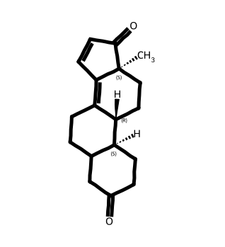 C[C@]12CC[C@H]3C(=C1C=CC2=O)CCC1CC(=O)CC[C@@H]13